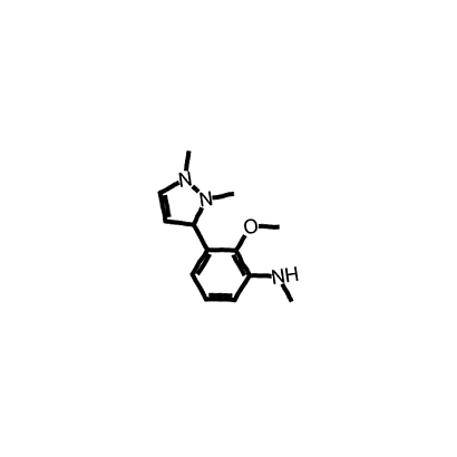 CNc1cccc(C2C=CN(C)N2C)c1OC